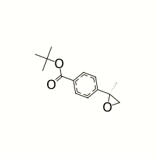 CC(C)(C)OC(=O)c1ccc([C@@]2(C)CO2)cc1